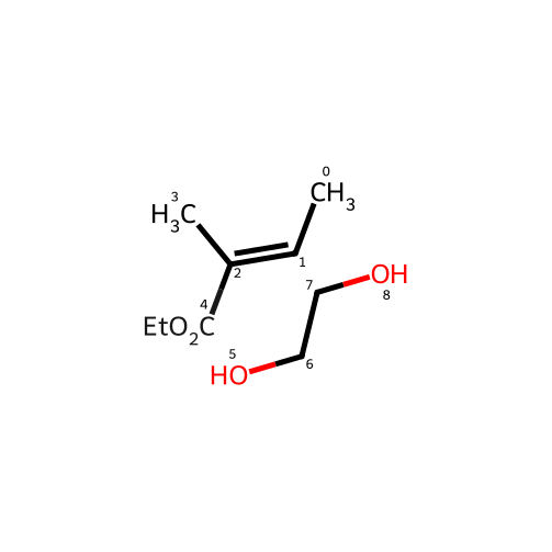 C/C=C(\C)C(=O)OCC.OCCO